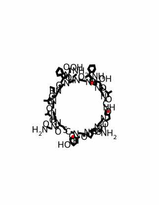 CCC[C@H]1NC(=O)[C@H](Cc2cn(CC(=O)O)c3ccccc23)NC(=O)[C@H](CCN)NC(=O)[C@H](Cc2c[nH]c3ccccc23)NC(=O)[C@@H]2C[C@@H](O)CN2C(=O)[C@H](CC(C)C)NC(=O)CNC(=O)[C@H]2CCCN2C(=O)[C@@H](CC(N)=O)NC(=O)[C@@H]2CCCN2C(=O)[C@H](Cc2ccc(O)cc2)NC(=O)CSC[C@@H](C(=O)NCC(N)=O)N(C)C(=O)[C@H](CC(C)C)NC(=O)[C@@H](CC(C)C)N(C)C1=O